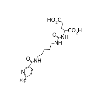 O=C(O)CCC(NC(=O)NCCCCCNC(=O)c1ccc([18F])nc1)C(=O)O